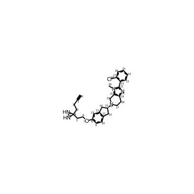 C#CCCC1(CCOc2ccc3c(c2)C[C@@H](N2CCc4nc(-c5ccccc5Cl)n(C)c4C2)C3)NN1